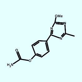 COc1nc(C)nc(-c2ccc(OC(N)=O)cc2)n1